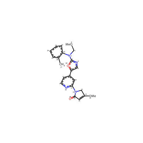 COCN(c1ncc(-c2ccnc(N3CC(OC)=CC3=O)c2)o1)c1ccccc1C